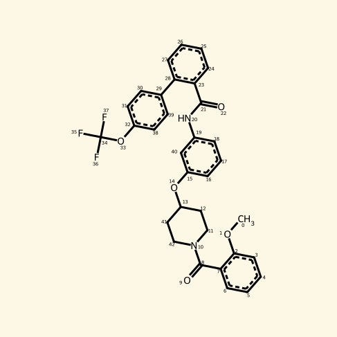 COc1ccccc1C(=O)N1CCC(Oc2cccc(NC(=O)c3ccccc3-c3ccc(OC(F)(F)F)cc3)c2)CC1